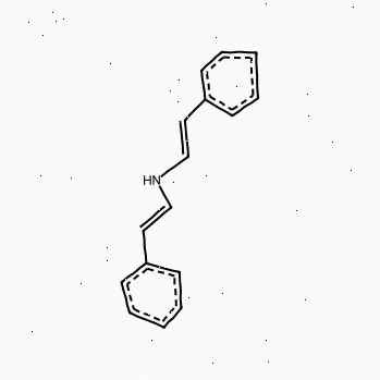 C(=Cc1ccccc1)NC=Cc1ccccc1